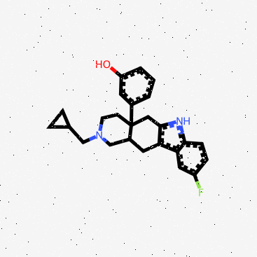 Oc1cccc(C23CCN(CC4CC4)CC2Cc2c([nH]c4ccc(F)cc24)C3)c1